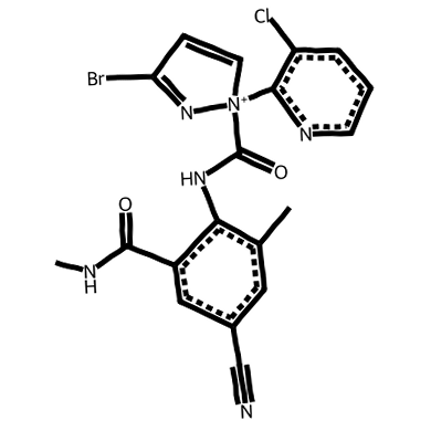 CNC(=O)c1cc(C#N)cc(C)c1NC(=O)[N+]1(c2ncccc2Cl)C=CC(Br)=N1